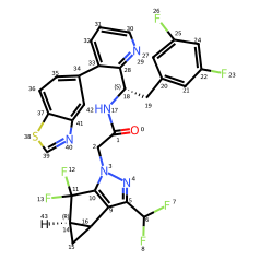 O=C(Cn1nc(C(F)F)c2c1C(F)(F)[C@@H]1CC21)N[C@@H](Cc1cc(F)cc(F)c1)c1ncccc1-c1ccc2scnc2c1